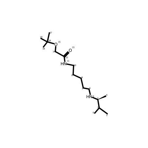 CC(C)[C@H](C)NCCCCCNC(=O)COC(C)(C)C